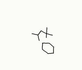 C[C](C)CC(C)(C)C.[CH]1CCCCC1